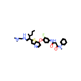 CCCC(C)/C(=C\NCCN(C)C)c1cc2nccc(Oc3ccc(NC(=O)CC(=O)N(C)c4ccccc4)cc3F)c2s1